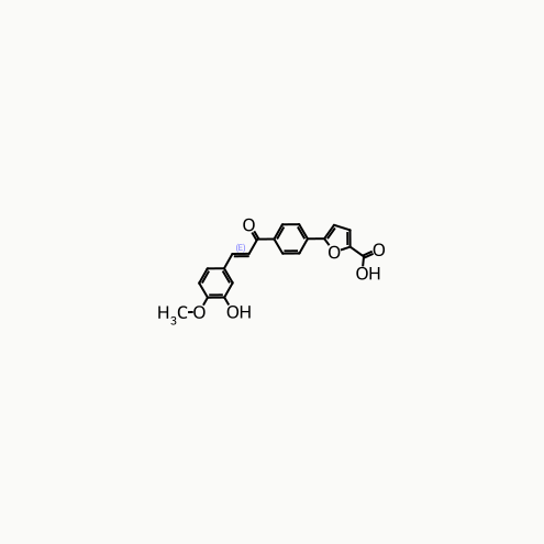 COc1ccc(/C=C/C(=O)c2ccc(-c3ccc(C(=O)O)o3)cc2)cc1O